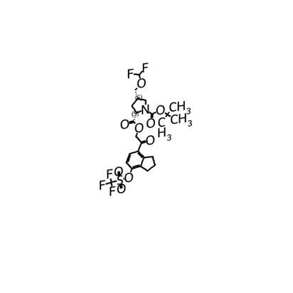 CC(C)(C)OC(=O)N1C[C@@H](COC(F)F)C[C@H]1C(=O)OCC(=O)c1ccc(OS(=O)(=O)C(F)(F)F)c2c1CCC2